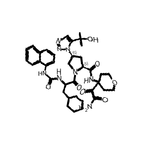 CC(C)(O)c1cnnn1[C@H]1C[C@@H](C(=O)NC2(C(=O)C(N)=O)CCOCC2)N(C(=O)C(CC2CCCCC2)NC(=O)Nc2cccc3ccccc23)C1